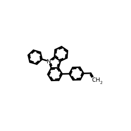 C=Cc1ccc(-c2cccc3c2c2ccccc2n3-c2ccccc2)cc1